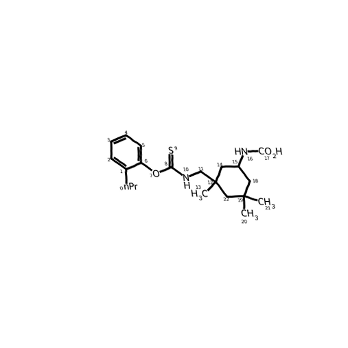 CCCc1ccccc1OC(=S)NCC1(C)CC(NC(=O)O)CC(C)(C)C1